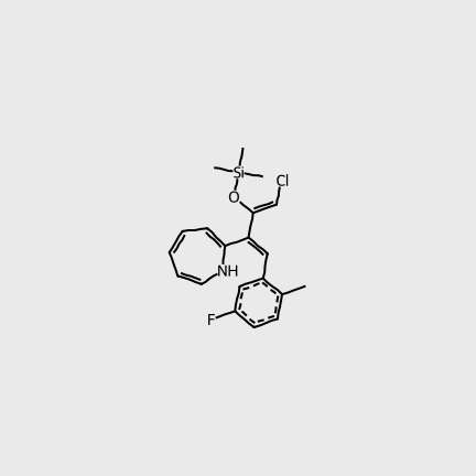 Cc1ccc(F)cc1C=C(C1=CC=CC=CN1)C(=CCl)O[Si](C)(C)C